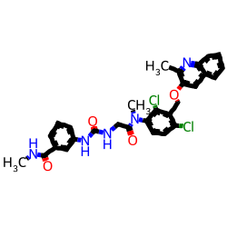 CNC(=O)c1cccc(NC(=O)NCC(=O)N(C)c2ccc(Cl)c(COc3cc4ccccc4nc3C)c2Cl)c1